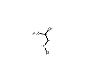 CCOCC(C#N)OC